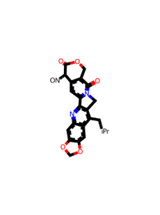 CC(C)Cc1c2c(nc3cc4c(cc13)OCO4)-c1cc3c(c(=O)n1C2)COC(=O)C3N=O